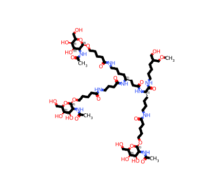 COCC(CO)CCCCNC(=O)[C@H](CCCCNC(=O)CCCCO[C@@H]1OC(CO)[C@H](O)[C@H](O)C1NC(C)=O)NC(=O)CC[C@H](CCCCNC(=O)CCCCO[C@@H]1OC(CO)[C@H](O)[C@H](O)C1NC(C)=O)NC(=O)CCCNC(=O)CCCCO[C@@H]1OC(CO)[C@H](O)[C@H](O)C1NC(C)=O